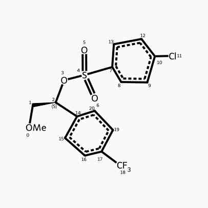 COC[C@@H](OS(=O)(=O)c1ccc(Cl)cc1)c1ccc(C(F)(F)F)cc1